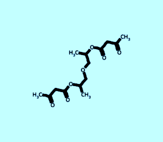 CC(=O)CC(=O)OC(C)COCC(C)OC(=O)CC(C)=O